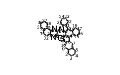 C=c1cccc/c1=C/c1c(C)sc2c1c1ccccc1c1c3ccccc3n(-c3nc4c(ccc5ccccc54)nc3Cl)c21